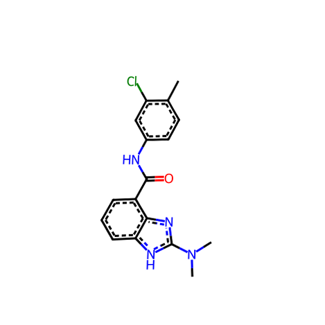 Cc1ccc(NC(=O)c2cccc3[nH]c(N(C)C)nc23)cc1Cl